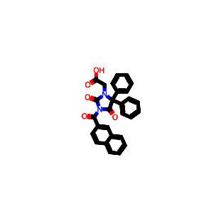 O=C(O)CN1C(=O)N(C(=O)c2ccc3ccccc3c2)C(=O)C1(c1ccccc1)c1ccccc1